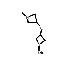 CN1CC(OC2CN(C(C)(C)C)C2)C1